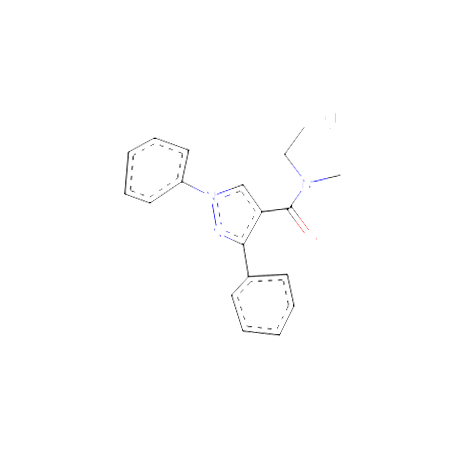 CN(CC(=O)O)C(=O)c1cn(-c2ccccc2)nc1-c1ccccc1